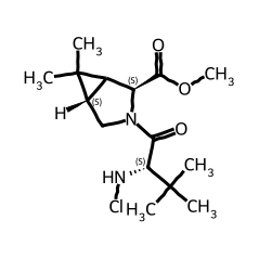 COC(=O)[C@@H]1C2[C@H](CN1C(=O)[C@@H](NCl)C(C)(C)C)C2(C)C